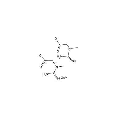 CN(CC(=O)[O-])C(=N)N.CN(CC(=O)[O-])C(=N)N.[Zn+2]